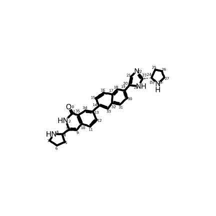 O=c1[nH]c(C2CCCN2)cc2ccc(-c3ccc4cc(-c5cnc([C@@H]6CCCN6)[nH]5)ccc4c3)cc12